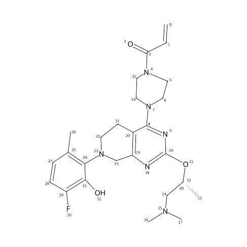 C=CC(=O)N1CCN(c2nc(O[C@H](C)CN(C)C)nc3c2CCN(c2c(C)ccc(F)c2O)C3)CC1